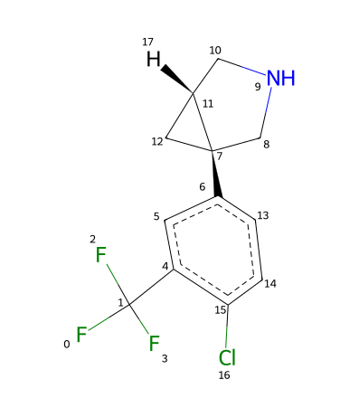 FC(F)(F)c1cc([C@]23CNC[C@H]2C3)ccc1Cl